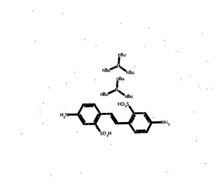 CCCCN(CCCC)CCCC.CCCCN(CCCC)CCCC.Nc1ccc(C=Cc2ccc(N)cc2S(=O)(=O)O)c(S(=O)(=O)O)c1